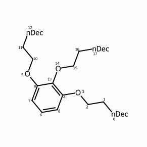 CCCCCCCCCCCCOc1[c]ccc(OCCCCCCCCCCCC)c1OCCCCCCCCCCCC